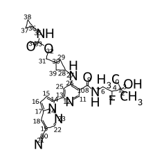 CC(C)(O)C(F)CNC(=O)c1cnc(-c2ccc3cc(C#N)cnn23)cc1NC1CC(COC(=O)NC2CC2)C1